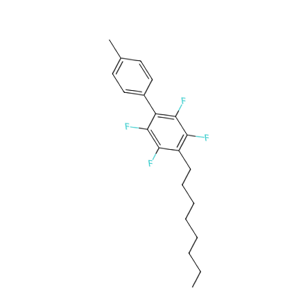 CCCCCCCCc1c(F)c(F)c(-c2ccc(C)cc2)c(F)c1F